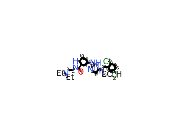 CCN(CC)CCNC(=O)c1cccc(Nc2nccc(N(Cc3cc(Cl)ccc3Cl)C(=O)O)n2)c1